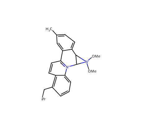 CO[N+]1(OC)C2c3ccc(C)cc3-c3ccc4c(CC(C)C)cccc4[n+]3C21